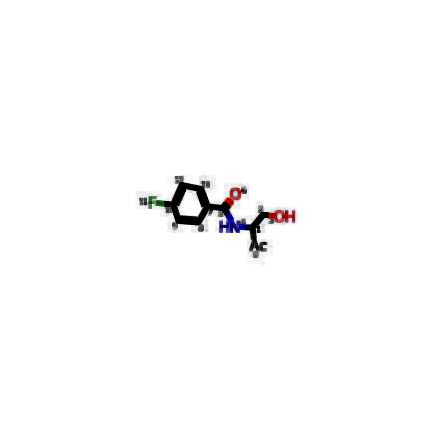 CC(=O)C(CO)NC(=O)c1ccc(F)cc1